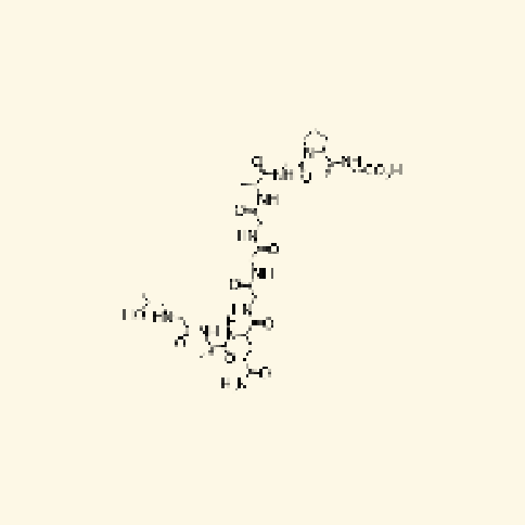 C=C(NCC(=O)O)C1CCCN1C(=O)CNC(=O)C(C)NC(=O)CNC(=O)CNC(=O)CNC(=O)C(CCC(N)=O)NC(=O)[C@H](C)NC(=O)CNCC(C)O